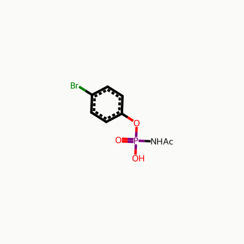 CC(=O)NP(=O)(O)Oc1ccc(Br)cc1